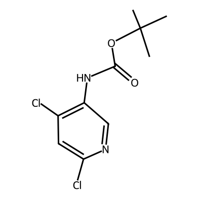 CC(C)(C)OC(=O)Nc1cnc(Cl)cc1Cl